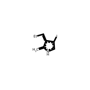 C=c1[nH]cc(I)/c1=C/CC